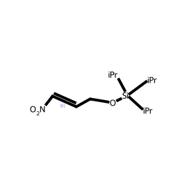 CC(C)[Si](OC/C=C/[N+](=O)[O-])(C(C)C)C(C)C